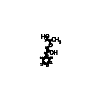 CC(CO)OCC(O)Cc1ccccc1